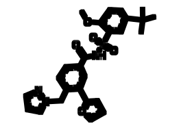 COc1ccc(C(C)(C)C)cc1S(=O)(=O)NC(=O)c1ccc(Cn2cccn2)c(-c2ccco2)c1